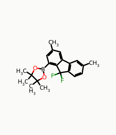 Cc1ccc2c(c1)-c1cc(C)cc(B3OC(C)(C)C(C)(C)O3)c1C2(F)F